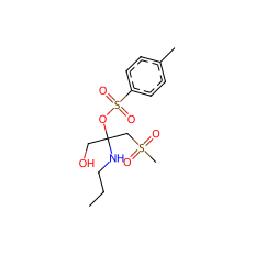 CCCNC(CO)(CS(C)(=O)=O)OS(=O)(=O)c1ccc(C)cc1